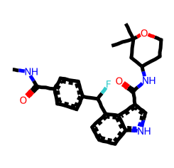 CNC(=O)c1ccc(C(F)c2cccc3[nH]cc(C(=O)NC4CCOC(C)(C)C4)c23)cc1